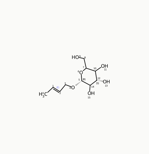 C/C=C/CO[C@@H]1OC(CO)C(O)[C@H](O)C1O